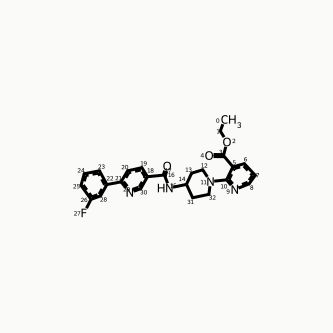 CCOC(=O)c1cccnc1N1CCC(NC(=O)c2ccc(-c3cccc(F)c3)nc2)CC1